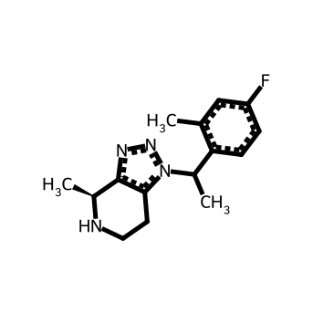 Cc1cc(F)ccc1C(C)n1nnc2c1CCN[C@H]2C